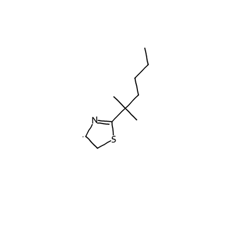 CCCCC(C)(C)C1=N[CH]CS1